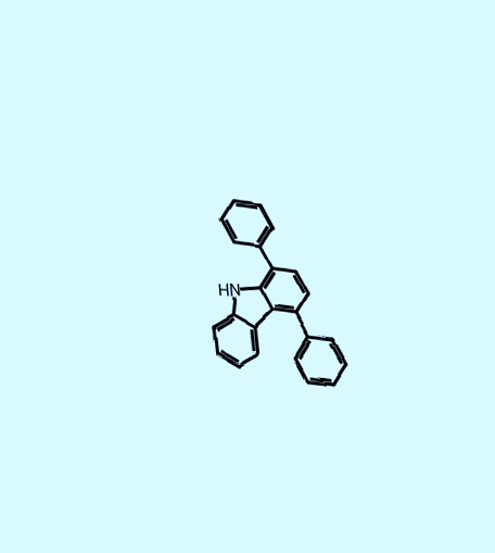 c1ccc(-c2ccc(-c3ccccc3)c3c2[nH]c2ccccc23)cc1